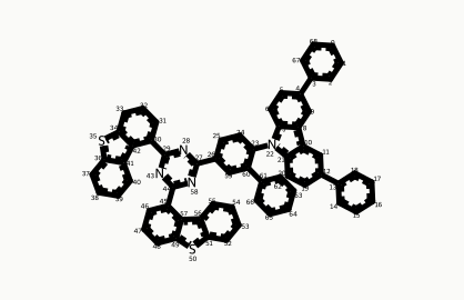 c1ccc(-c2ccc3c(c2)c2cc(-c4ccccc4)ccc2n3-c2ccc(-c3nc(-c4cccc5sc6ccccc6c45)nc(-c4cccc5sc6ccccc6c45)n3)cc2-c2ccccc2)cc1